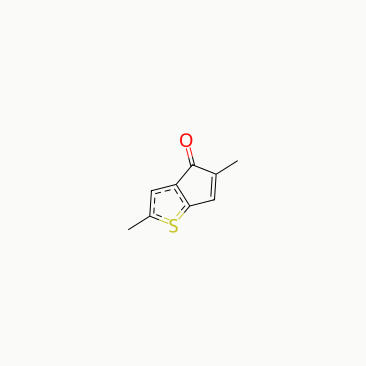 CC1=Cc2sc(C)cc2C1=O